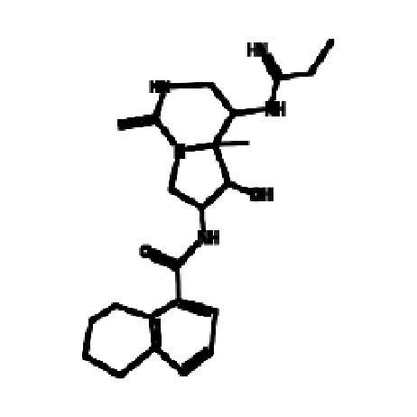 C=C1NCC(NC(=N)CC)C2(C)C(O)C(NC(=O)c3cccc4c3CCCC4)CN12